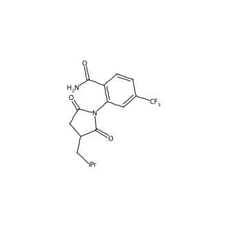 CC(C)CC1CC(=O)N(c2cc(C(F)(F)F)ccc2C(N)=O)C1=O